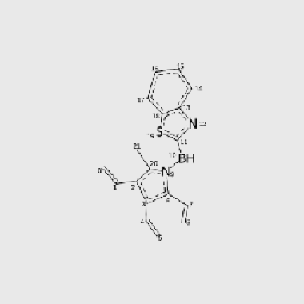 C=Cc1c(C=C)c(C=C)n(Bc2nc3ccccc3s2)c1C